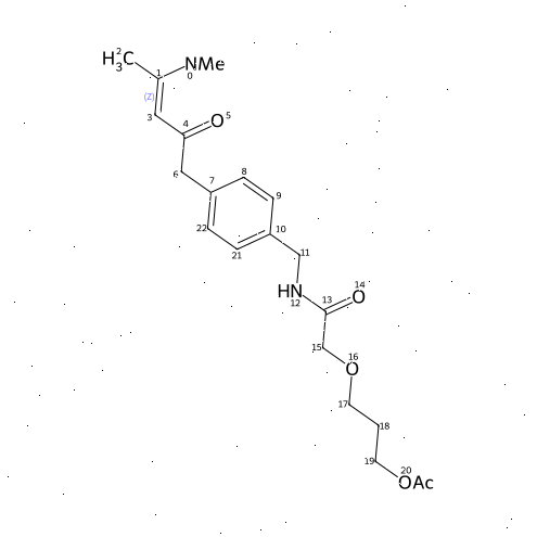 CN/C(C)=C\C(=O)Cc1ccc(CNC(=O)COCCCOC(C)=O)cc1